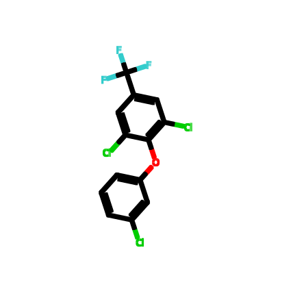 FC(F)(F)c1cc(Cl)c(Oc2cccc(Cl)c2)c(Cl)c1